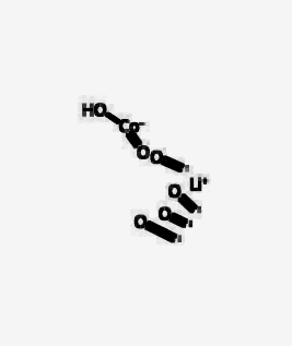 [C]=O.[C]=O.[C]=O.[C]=O.[Li+].[O]=[Co-][OH]